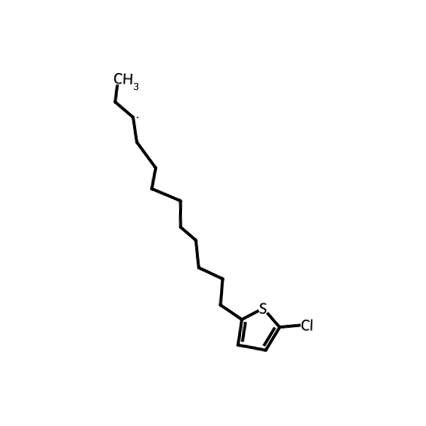 CC[CH]CCCCCCCCCc1ccc(Cl)s1